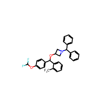 FC(F)Oc1ccc(C(OC2CN(C(c3ccccc3)c3ccccc3)C2)c2ccccc2C(F)(F)F)cc1